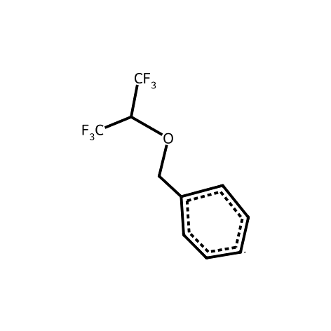 FC(F)(F)C(OCc1cc[c]cc1)C(F)(F)F